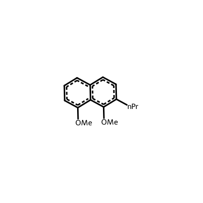 CCCc1ccc2cccc(OC)c2c1OC